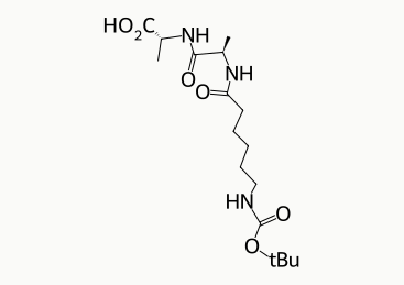 C[C@@H](NC(=O)[C@@H](C)NC(=O)CCCCCNC(=O)OC(C)(C)C)C(=O)O